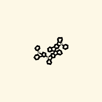 c1ccc(-n2c3ccccc3c3cc(-n4c5ccccc5c5cc6c(cc54)C4(c5ccccc5-c5cc7c8ccccc8n(-c8ccccc8)c7cc54)c4ccccc4-6)ccc32)cc1